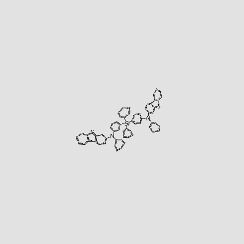 c1ccc(N(c2ccc([Si](c3ccccc3)(c3ccccc3)c3cccc(N(c4ccccc4)c4ccc5c(c4)sc4ccccc45)c3)cc2)c2ccc3c(c2)sc2ccccc23)cc1